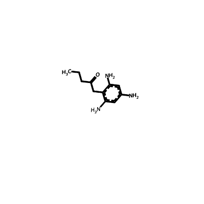 CCCC(=O)Cc1c(N)cc(N)cc1N